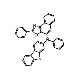 c1ccc(-c2nc3c(o2)c(N(c2ccccc2)c2ccc4c(c2)sc2ccccc24)cc2ccccc23)cc1